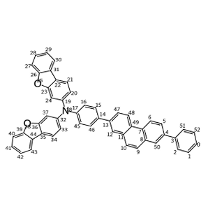 c1ccc(-c2ccc3c(ccc4cc(-c5ccc(N(c6ccc7c(c6)oc6ccccc67)c6ccc7c(c6)oc6ccccc67)cc5)ccc43)c2)cc1